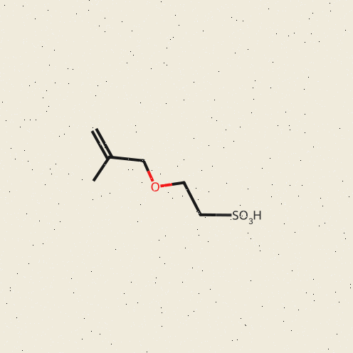 C=C(C)COCCS(=O)(=O)O